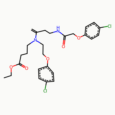 C=C(CCNC(=O)COc1ccc(Cl)cc1)N(CCCC(=O)OCC)CCOc1ccc(Cl)cc1